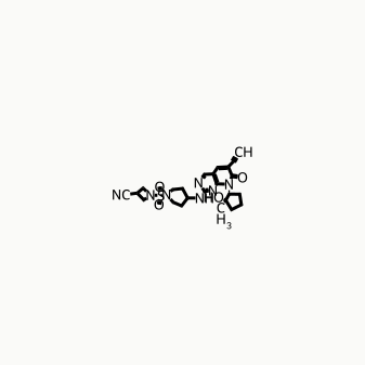 C#Cc1cc2cnc(NC3CCN(S(=O)(=O)N4CC(C#N)C4)CC3)nc2n([C@@H]2CCC[C@@]2(C)O)c1=O